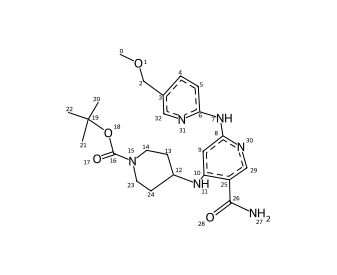 COCc1ccc(Nc2cc(NC3CCN(C(=O)OC(C)(C)C)CC3)c(C(N)=O)cn2)nc1